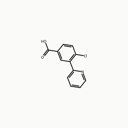 O=C(O)c1ccc(Cl)c(-c2cc[c]cn2)c1